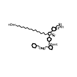 CCCCCCCCCCCCCCCCCCCCCCCCCC1=C(c2ccc(CCCCC)cc2)[N+](=[N-])C(c2ccc(C[Si](CC)(CC)CC)cc2)=C1.c1ccc(C[O][Ni][O]Cc2ccccc2)cc1